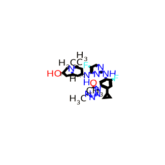 CN(C)/N=N\N(C=O)c1cc(Nc2ncc(F)c(N[C@@H]3C[C@@H]4C[C@@H](O)CN4C(C)(C)C3)n2)c(F)cc1C1CC1